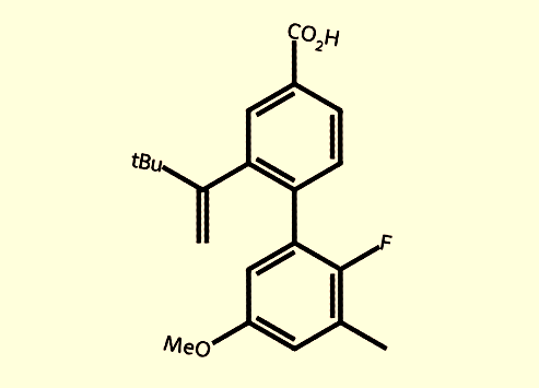 C=C(c1cc(C(=O)O)ccc1-c1cc(OC)cc(C)c1F)C(C)(C)C